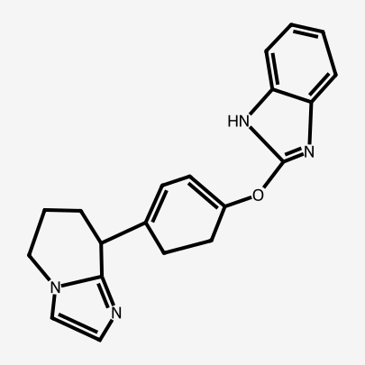 C1=C(Oc2nc3ccccc3[nH]2)CCC(C2CCCn3ccnc32)=C1